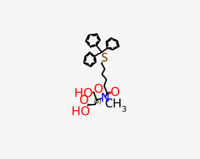 CN(C(=O)CCCCCSC(c1ccccc1)(c1ccccc1)c1ccccc1)[C@@H](CC(=O)O)C(=O)O